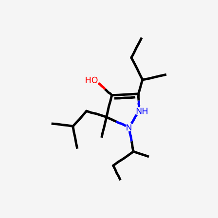 CCC(C)C1=C(O)C(C)(CC(C)C)N(C(C)CC)N1